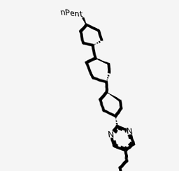 CCCCCCCCCCCCc1cnc([C@H]2CC[C@H]([C@H]3CC[C@H]([C@H]4CC[C@H](CCCCC)CC4)CC3)CC2)nc1